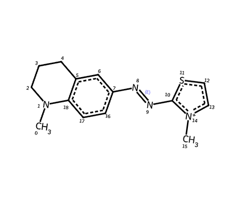 CN1CCCc2cc(/N=N/c3scc[n+]3C)ccc21